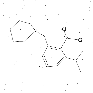 CC(C)c1cccc(CN2CCCCC2)c1P(Cl)Cl